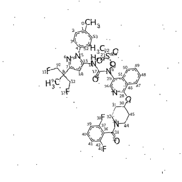 Cc1ccc(-n2nc(C(C)(CF)CF)cc2NC(=O)N(OS(C)(=O)=O)c2cnc(OC3CCN(C(=O)c4c(F)cccc4F)CC3)c3ccccc23)cc1